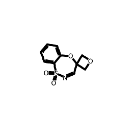 O=S1(=O)N=CC2(COC2)Oc2ccccc21